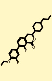 CCCC1CCC(C2Cc3ccc(-c4ccc(OCC)c(F)c4)c(F)c3C(=O)O2)CC1